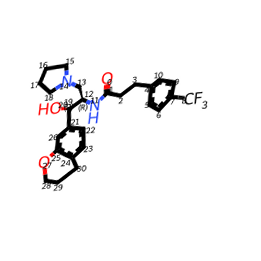 O=C(CCc1ccc(C(F)(F)F)cc1)N[C@H](CN1CCCC1)[C@H](O)c1ccc2c(c1)OCCC2